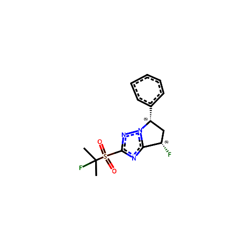 CC(C)(F)S(=O)(=O)c1nc2n(n1)[C@H](c1ccccc1)C[C@@H]2F